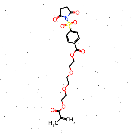 C=C(C)C(=O)OCCOCCOCCOC(=O)c1ccc(S(=O)(=O)N2C(=O)CCC2=O)cc1